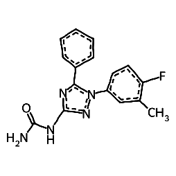 Cc1cc(-n2nc(NC(N)=O)nc2-c2ccccc2)ccc1F